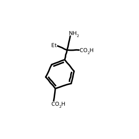 CCC(N)(C(=O)O)c1ccc(C(=O)O)cc1